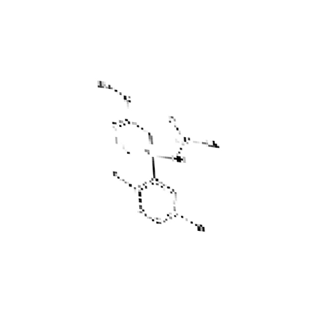 CC(C)(C)OC(=O)C[C@](CF)(N[S@+]([O-])C(C)(C)C)c1cc(Br)ccc1F